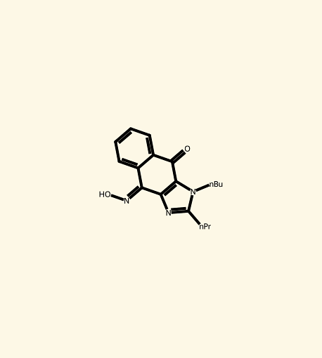 CCCCn1c(CCC)nc2c1C(=O)c1ccccc1C2=NO